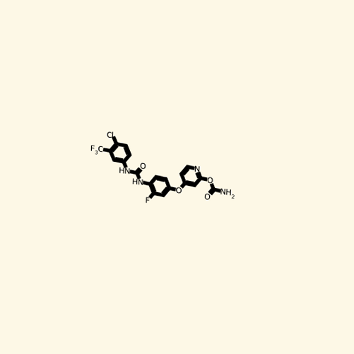 NC(=O)Oc1cc(Oc2ccc(NC(=O)Nc3ccc(Cl)c(C(F)(F)F)c3)c(F)c2)ccn1